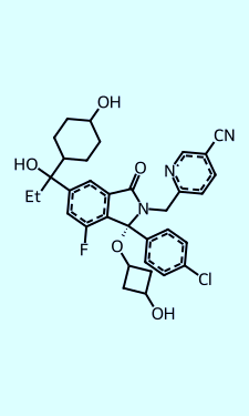 CCC(O)(c1cc(F)c2c(c1)C(=O)N(Cc1ccc(C#N)cn1)[C@@]2(OC1CC(O)C1)c1ccc(Cl)cc1)C1CCC(O)CC1